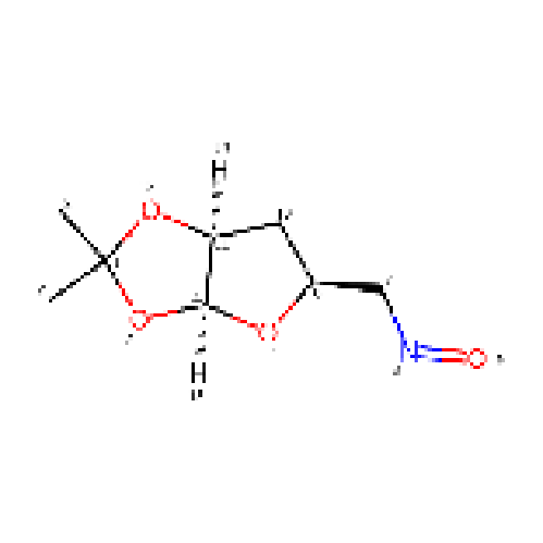 CC1(C)O[C@@H]2O[C@H](CN=O)C[C@@H]2O1